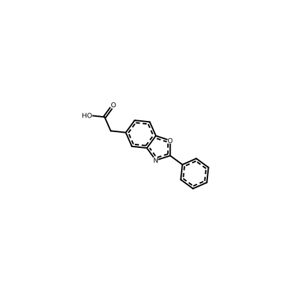 O=C(O)Cc1ccc2oc(-c3ccccc3)nc2c1